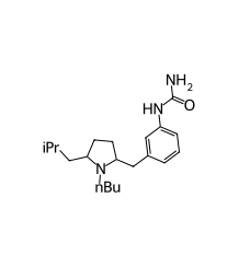 CCCCN1C(Cc2cccc(NC(N)=O)c2)CCC1CC(C)C